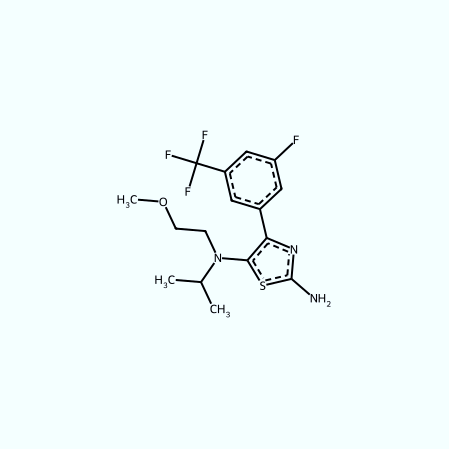 COCCN(c1sc(N)nc1-c1cc(F)cc(C(F)(F)F)c1)C(C)C